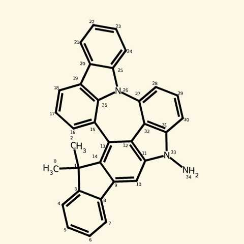 CC1(C)c2ccccc2-c2cc3c4c(c21)c1cccc2c5ccccc5n(c5cccc(c45)n3N)c21